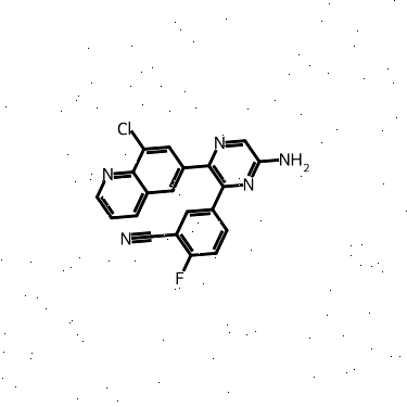 N#Cc1cc(-c2nc(N)cnc2-c2cc(Cl)c3ncccc3c2)ccc1F